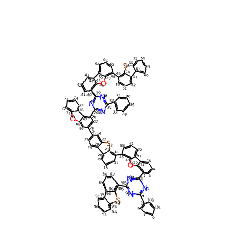 c1ccc(-c2nc(-c3cccc4c3oc3c(-c5cccc6c5sc5cc(-c7cc(-c8nc(-c9ccccc9)nc(-c9cccc%10c9oc9c(-c%11cccc%12c%11sc%11ccccc%11%12)cccc9%10)n8)c8c(c7)oc7ccccc78)ccc56)cccc34)nc(-c3cccc4c3sc3ccccc34)n2)cc1